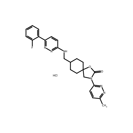 Cc1ccc(N2CC3(CCC(CNc4ccc(-c5ccccc5F)nn4)CC3)OC2=O)nn1.Cl